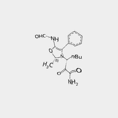 CCCCC(C(=O)C(N)=O)N1C(c2ccccc2)=C(NC=O)O[C@H]1C